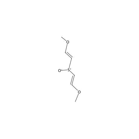 COC=C[S+]([O-])C=COC